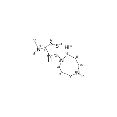 CN1CCCN(C2NC(N(C)C)SS2)CCC1.I